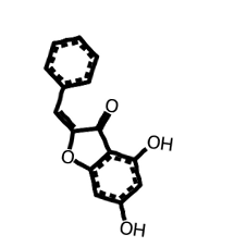 O=C1C(=Cc2ccccc2)Oc2cc(O)cc(O)c21